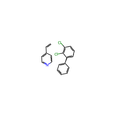 C=Cc1ccncc1.Clc1cccc(-c2ccccc2)c1Cl